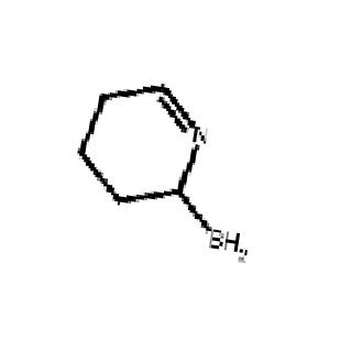 BC1CCCC=N1